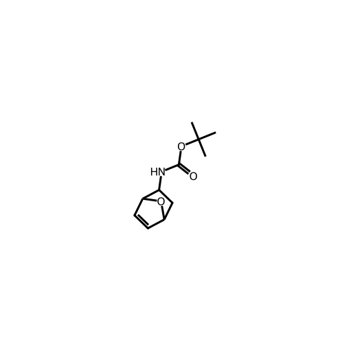 CC(C)(C)OC(=O)NC1CC2C=CC1O2